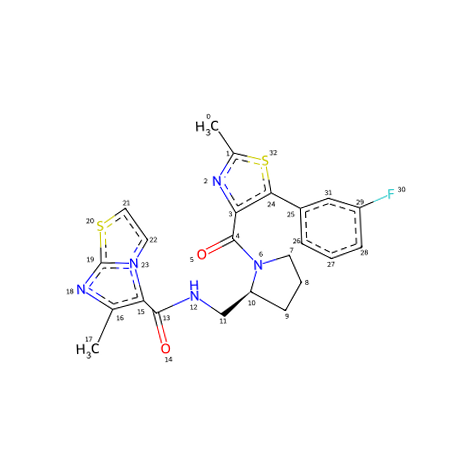 Cc1nc(C(=O)N2CCC[C@H]2CNC(=O)c2c(C)nc3sccn23)c(-c2cccc(F)c2)s1